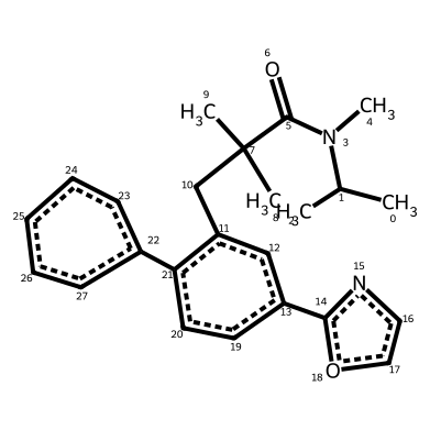 CC(C)N(C)C(=O)C(C)(C)Cc1cc(-c2ncco2)ccc1-c1ccccc1